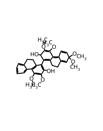 COC1=C(OC)C(O)C(c2c(O)c(OC)c(OC)c3c2CCc2ccccc2-3)=C2CCC3=CC(OC)(OC)C=CC3=C21